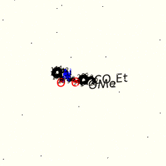 CCOC(=O)C(Cc1ccc(OCCn2ncc3ccccc3c2=O)cc1)OC